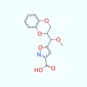 COC(c1cc(C(=O)O)no1)C1COc2ccccc2O1